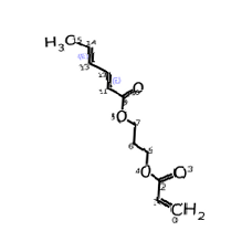 C=CC(=O)OCCCOC(=O)/C=C/C=C/C